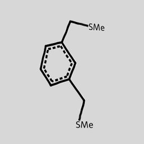 CSCc1cccc(CSC)c1